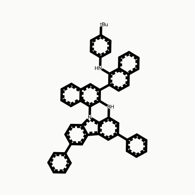 CC(C)(C)c1ccc(Nc2c(-c3cc4ccccc4c4c3Bc3cc(-c5ccccc5)cc5c6cc(-c7ccccc7)ccc6n-4c35)ccc3ccccc23)cc1